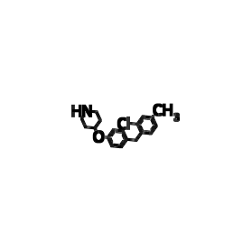 Cc1ccc(Cc2ccc(OC3CCNCC3)cc2)c(Cl)c1